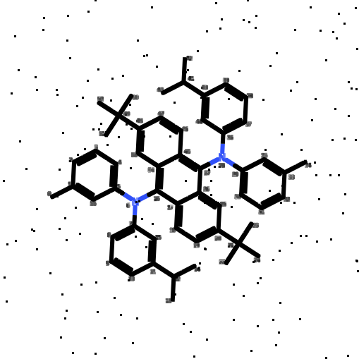 Cc1cccc(N(c2cccc(C(C)C)c2)c2c3ccc(C(C)(C)C)cc3c(N(c3cccc(C)c3)c3cccc(C(C)C)c3)c3ccc(C(C)(C)C)cc23)c1